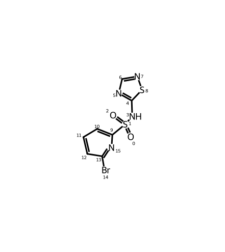 O=S(=O)(Nc1ncns1)c1cccc(Br)n1